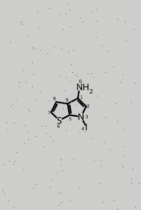 Nc1cn(I)c2sccc12